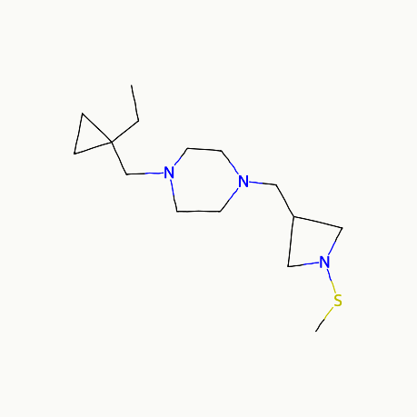 CCC1(CN2CCN(CC3CN(SC)C3)CC2)CC1